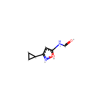 O=CNc1cc(C2CC2)no1